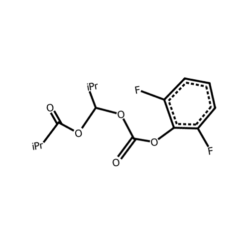 CC(C)C(=O)OC(OC(=O)Oc1c(F)cccc1F)C(C)C